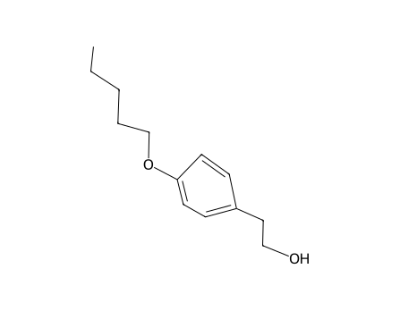 CCCCCOc1ccc(CCO)cc1